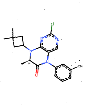 C[C@@H]1C(=O)N(c2cccc(C#N)c2)c2cnc(Cl)nc2N1C1CC(C)(C)C1